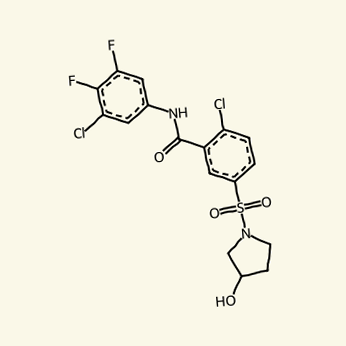 O=C(Nc1cc(F)c(F)c(Cl)c1)c1cc(S(=O)(=O)N2CCC(O)C2)ccc1Cl